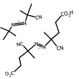 CC(C#N)(CCC(=O)O)/N=N/C(C)(C#N)CCC(=O)O.CC(C)(C#N)/N=N/C(C)(C)C#N